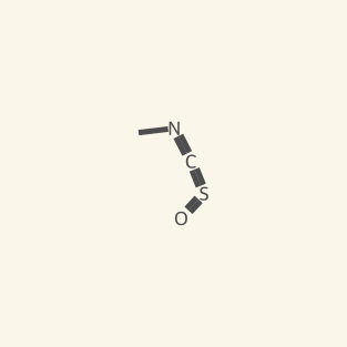 CN=C=S=O